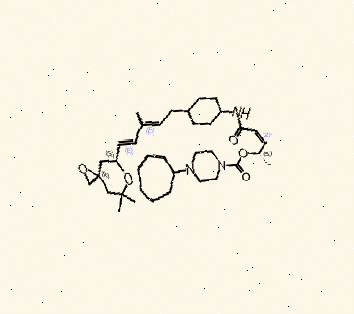 CC(/C=C/[C@@H]1C[C@]2(CO2)CC(C)(C)O1)=C\CC1CCC(NC(=O)/C=C\[C@H](C)OC(=O)N2CCN(C3CCCCCC3)CC2)CC1